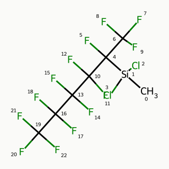 C[Si](Cl)(Cl)C(F)(C(F)(F)F)C(F)(F)C(F)(F)C(F)(F)C(F)(F)F